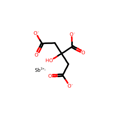 O=C([O-])CC(O)(CC(=O)[O-])C(=O)[O-].[Sb+3]